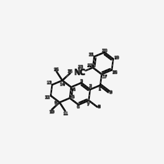 C=C(c1cc2c(cc1C)C(C)(C)CCC2(C)C)c1ccccc1C#N